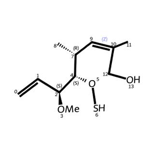 C=C[C@H](OC)[C@@H](OS)[C@H](C)/C=C(/C)CO